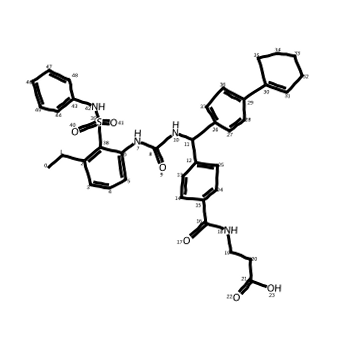 CCc1cccc(NC(=O)NC(c2ccc(C(=O)NCCC(=O)O)cc2)c2ccc(C3=CCCCC3)cc2)c1S(=O)(=O)Nc1ccccc1